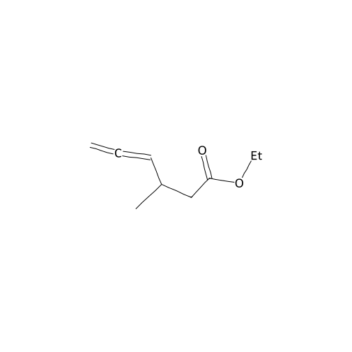 C=C=CC(C)CC(=O)OCC